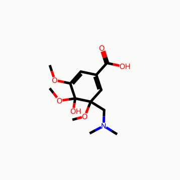 COC1=CC(C(=O)O)=CC(CN(C)C)(OC)C1(O)OC